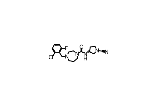 N#CN1CC[C@@H](NC(=O)N2CCCN(Cc3c(F)cccc3Cl)CC2)C1